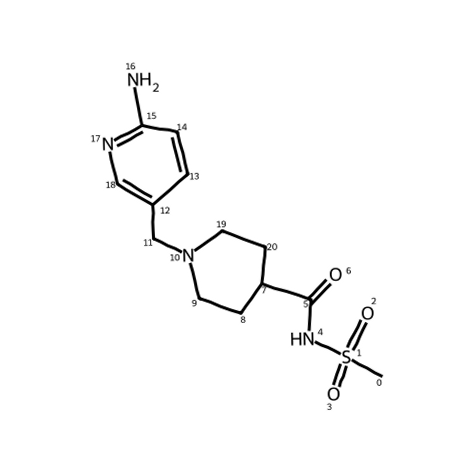 CS(=O)(=O)NC(=O)C1CCN(Cc2ccc(N)nc2)CC1